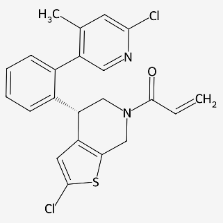 C=CC(=O)N1Cc2sc(Cl)cc2[C@H](c2ccccc2-c2cnc(Cl)cc2C)C1